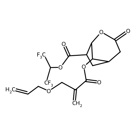 C=CCOCC(=C)C(=O)OC1C2CC(=O)OC1C(C(=O)OC(C(F)(F)F)C(F)(F)F)C2